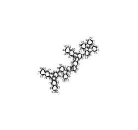 CC1(Cc2ccc3cc4c5cc(-c6ccc7c(c6)C(c6ccccc6)(c6ccccc6)C6C=CC=CC76)cc6c7cc8ccccc8cc7n(c4cc3c2)c65)c2ccccc2-c2c(-c3cc4c5cc6ccccc6cc5n5c6cc7ccccc7cc6c(c3)c45)cccc21